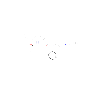 CON=C[C@H]1CN(C(=O)CC(C)(C)C[C@H](NC(=O)OC(C)(C)C)[C@@H](O)C[C@@H](C)C(=O)O)c2ccccc2O1